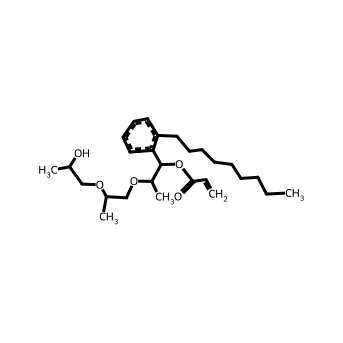 C=CC(=O)OC(c1ccccc1CCCCCCCCC)C(C)OCC(C)OCC(C)O